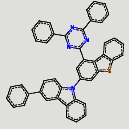 c1ccc(-c2ccc3c(c2)c2ccccc2n3-c2cc(-c3nc(-c4ccccc4)nc(-c4ccccc4)n3)c3c(c2)sc2ccccc23)cc1